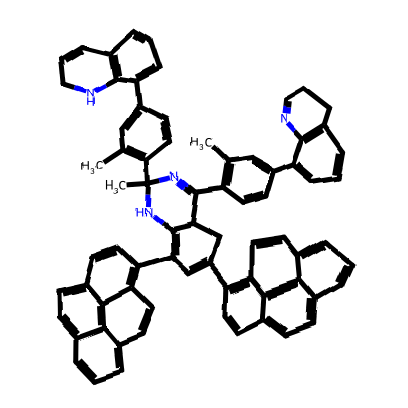 Cc1cc(-c2cccc3c2N=CCC3)ccc1C1=NC(C)(c2ccc(-c3cccc4c3NCC=C4)cc2C)NC2=C(c3ccc4ccc5cccc6ccc3c4c56)C=C(c3ccc4ccc5cccc6ccc3c4c56)CC12